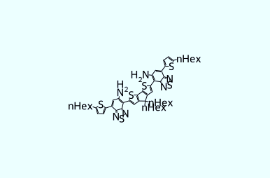 CCCCCCc1ccc(-c2cc(N)c(-c3cc4c(s3)-c3sc(-c5c(N)cc(-c6ccc(CCCCCC)s6)c6nsnc56)cc3C4(CCCCCC)CCCCCC)c3nsnc23)s1